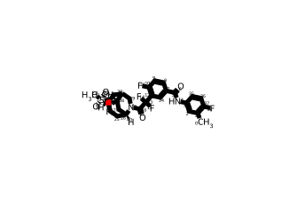 Cc1cc(NC(=O)c2ccc(F)c(C(F)(F)C(=O)N3CC4C[C@@H](C)CC[C@@H]3C[C@@H]4NS(C)(=O)=O)c2)ccc1F